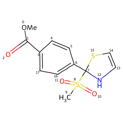 COC(=O)c1ccc(C2(S(C)(=O)=O)NC=CS2)cc1